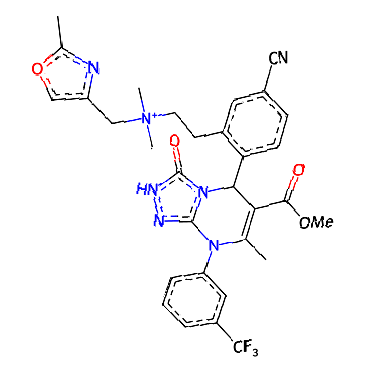 COC(=O)C1=C(C)N(c2cccc(C(F)(F)F)c2)c2n[nH]c(=O)n2C1c1ccc(C#N)cc1CC[N+](C)(C)Cc1coc(C)n1